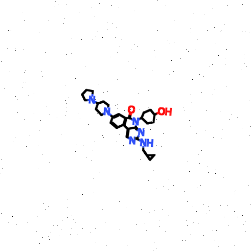 O=c1c2cc(N3CCC(N4CCCC4)CC3)ccc2c2cnc(NCC3CC3)nc2n1C1CCC(O)CC1